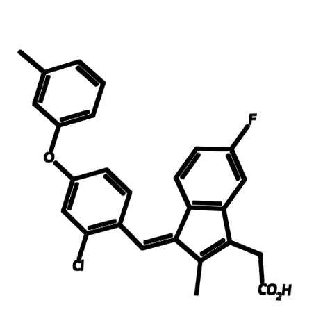 CC1=C(CC(=O)O)c2cc(F)ccc2/C1=C\c1ccc(Oc2cccc(C)c2)cc1Cl